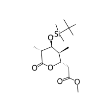 COC(=O)C[C@@H]1OC(=O)[C@H](C)[C@@H](O[Si](C)(C)C(C)(C)C)[C@H]1C